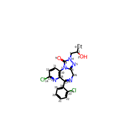 CCC(O)Cn1nc2n(c1=O)-c1ccc(Cl)nc1C(c1ccccc1Cl)=NC2